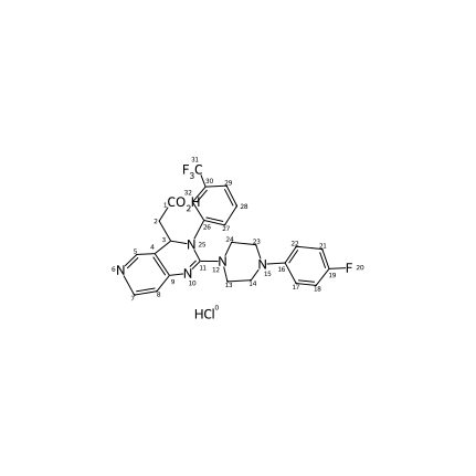 Cl.O=C(O)CC1c2cnccc2N=C(N2CCN(c3ccc(F)cc3)CC2)N1c1cccc(C(F)(F)F)c1